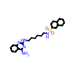 Nc1nc(NCCCCCCNS(=O)(=O)c2ccc3ccccc3c2)nc2ccccc12